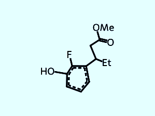 CCC(CC(=O)OC)c1cccc(O)c1F